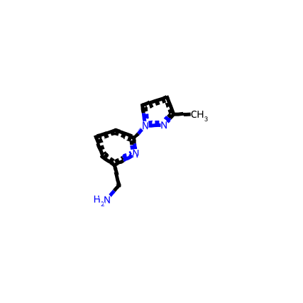 Cc1ccn(-c2cccc(CN)n2)n1